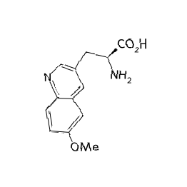 COc1ccc2ncc(C[C@H](N)C(=O)O)cc2c1